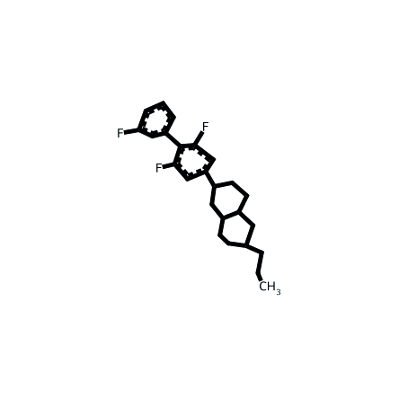 CCCC1CCC2CC(c3cc(F)c(-c4cccc(F)c4)c(F)c3)CCC2C1